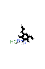 C=CCc1cc(C=C)c(C)c(C)c1C.Cl.N